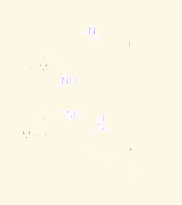 COCC(NC(=O)[C@H](COC)NC(=O)c1cnc(C)s1)C(=O)NC(Cc1ccccc1)C(=O)[C@@]1(C)CO1